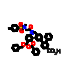 Cc1ccc(S(=O)(=O)N(C)CC(=O)N(Cc2ccc(-c3ccc(C(=O)O)cc3-c3ccccc3)cc2)c2ccc(C(=O)OCc3ccccc3)c(OCc3ccccc3)c2)cc1